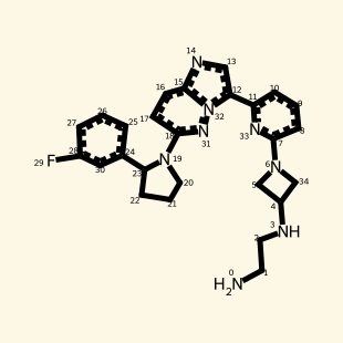 NCCNC1CN(c2cccc(-c3cnc4ccc(N5CCCC5c5cccc(F)c5)nn34)n2)C1